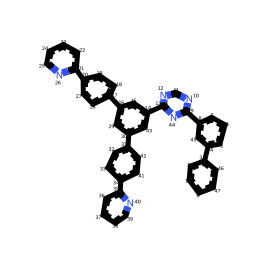 c1ccc(-c2cccc(-c3ncnc(-c4cc(-c5ccc(-c6ccccn6)cc5)cc(-c5ccc(-c6ccccn6)cc5)c4)n3)c2)cc1